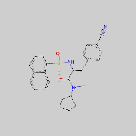 CN(C(=O)[C@H](Cc1ccc(C#N)cc1)NS(=O)(=O)c1cccc2ccccc12)C1CCCC1